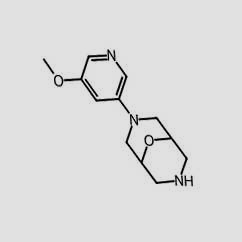 COc1cncc(N2CC3CNCC(C2)O3)c1